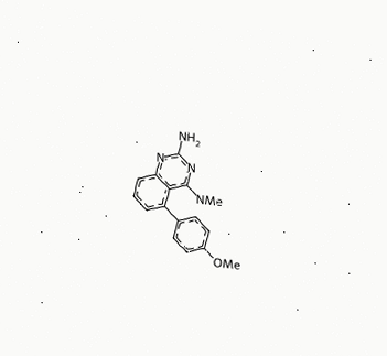 CNc1nc(N)nc2cccc(-c3ccc(OC)cc3)c12